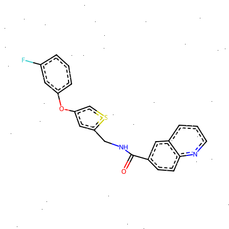 O=C(NCc1cc(Oc2cccc(F)c2)cs1)c1ccc2ncccc2c1